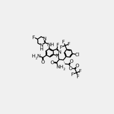 NC(=O)c1cc(NC2=NCC(F)CN2)c2c(F)nn(C(C(N)=O)[C@@H](CC(=O)OC(=O)C(F)(F)F)c3cc(Cl)cc(C(F)(F)F)c3)c2c1